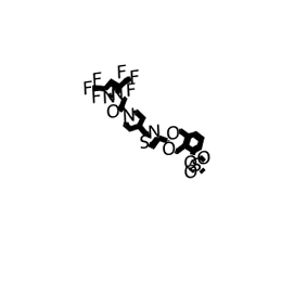 CS(=O)(=O)Oc1cccc2c1COC(c1csc(C3CCN(C(=O)Cn4nc(C(F)(F)F)cc4C(F)(F)F)CC3)n1)OC2